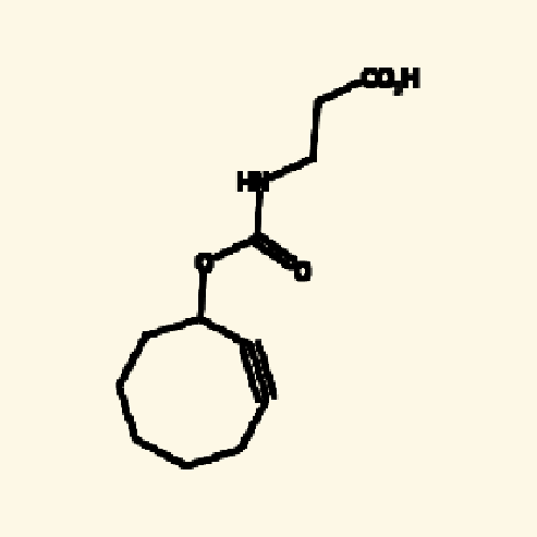 O=C(O)CCNC(=O)OC1C#CCCCCC1